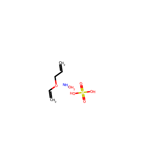 C=CCOC=C.N.O.O=S(=O)(O)O